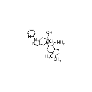 CC1CCC2C(CN)C([C@@]3(C)Cc4cnn(-c5ccccn5)c4C[C@@H]3CO)CCC12C